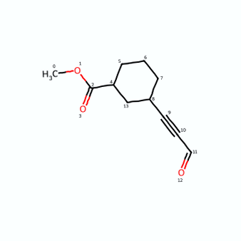 COC(=O)C1CCCC(C#CC=O)C1